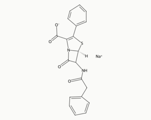 O=C(Cc1ccccc1)NC1C(=O)N2C(C(=O)[O-])=C(c3ccccc3)S[C@@H]12.[Na+]